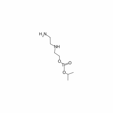 CC(C)[O][Ti](=[O])[O]CCNCCN